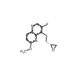 COc1ccc2ncc(F)c(SC[C@@H]3CO3)c2n1